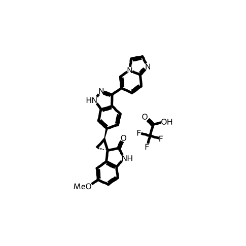 COc1ccc2c(c1)[C@]1(C[C@H]1c1ccc3c(-c4ccc5nccn5c4)n[nH]c3c1)C(=O)N2.O=C(O)C(F)(F)F